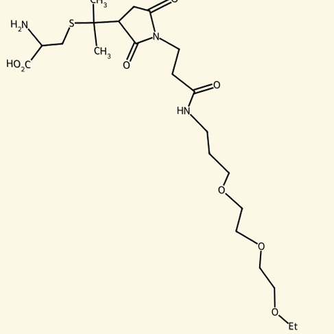 CCOCCOCCOCCCNC(=O)CCN1C(=O)CC(C(C)(C)SCC(N)C(=O)O)C1=O